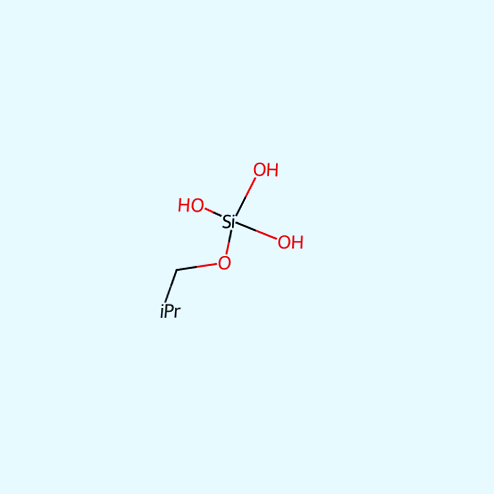 CC(C)CO[Si](O)(O)O